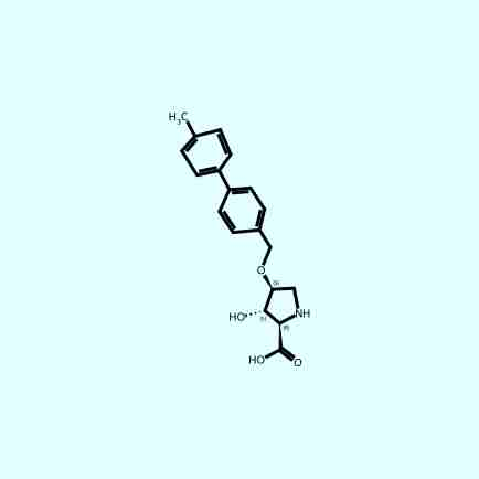 Cc1ccc(-c2ccc(CO[C@H]3CN[C@@H](C(=O)O)[C@@H]3O)cc2)cc1